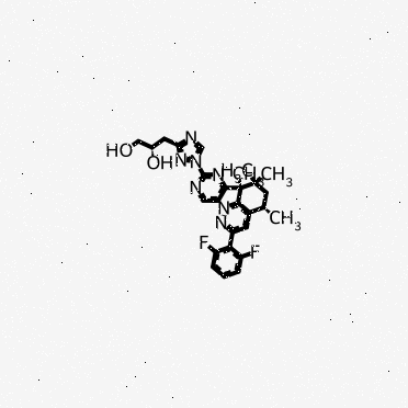 C[C@@H]1CC(C)(C)[C@@](C)(c2ccnc(-n3cnc(C[C@H](O)CO)n3)n2)c2nnc(-c3c(F)cccc3F)cc21